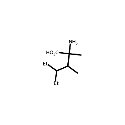 CCC(CC)C(C)C(C)(N)C(=O)O